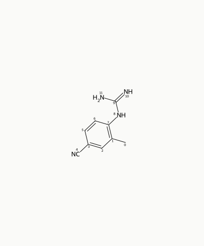 Cc1cc(C#N)ccc1NC(=N)N